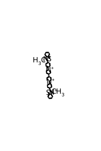 C[n+]1c(-c2ccc(-[n+]3ccc(-c4cc[n+](-c5ccc(-c6sc7ccccc7[n+]6C)cc5)cc4)cc3)cc2)sc2ccccc21